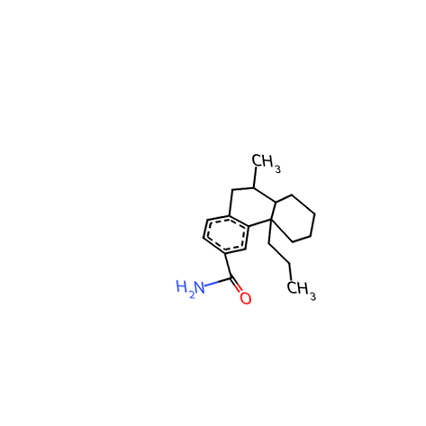 CCCC12CCCCC1C(C)Cc1ccc(C(N)=O)cc12